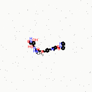 CCN(CCNC[C@H](O)c1ccc(O)c2[nH]c(=O)ccc12)C(=O)CCOCCc1ccc(CCN2CC3CC(OC(=O)Nc4ccccc4-c4ccccc4)CC3C2)cc1